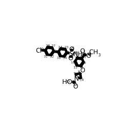 COC(=O)c1cc(OC2CN(C(=O)O)C2)ccc1NS(=O)(=O)c1ccc(-c2ccc(Cl)cc2)cc1